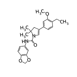 CCc1ccc(C2=CN(C(=O)Nc3ccc4c(c3)OCO4)C(C)(C)C2)cc1OC